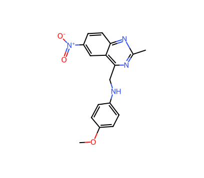 COc1ccc(NCc2nc(C)nc3ccc([N+](=O)[O-])cc23)cc1